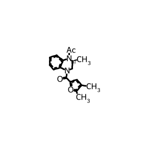 CC(=O)N1c2ccccc2N(C(=O)c2cc(C)c(C)o2)C[C@@H]1C